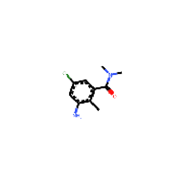 Cc1c(N)cc(Cl)cc1C(=O)N(C)C